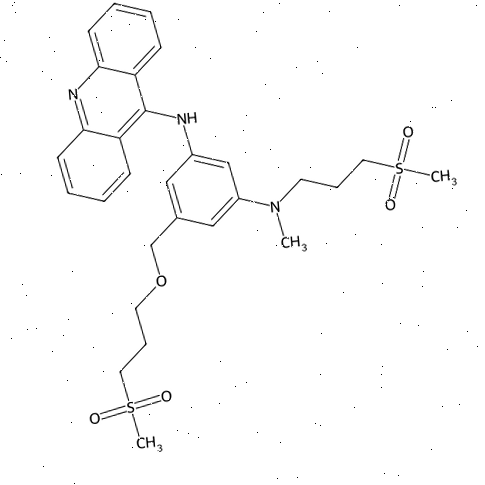 CN(CCCS(C)(=O)=O)c1cc(COCCCS(C)(=O)=O)cc(Nc2c3ccccc3nc3ccccc23)c1